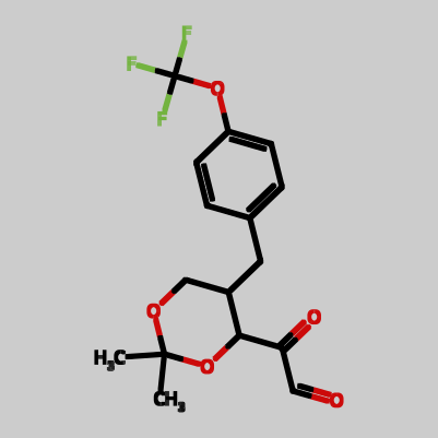 CC1(C)OCC(Cc2ccc(OC(F)(F)F)cc2)C(C(=O)C=O)O1